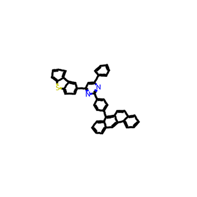 c1ccc(-c2cc(-c3ccc4sc5ccccc5c4c3)nc(-c3ccc(-c4c5ccccc5cc5c4ccc4ccccc45)cc3)n2)cc1